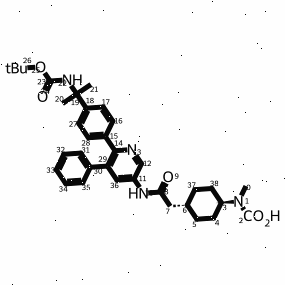 CN(C(=O)O)[C@H]1CC[C@H](CC(=O)Nc2cnc(-c3ccc(C(C)(C)NC(=O)OC(C)(C)C)cc3)c(-c3ccccc3)c2)CC1